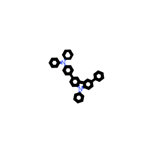 C1=CCC(N(c2ccccc2)c2ccc(-c3ccc4c(c3)c3cc(-c5ccccc5)ccc3n4-c3ccccc3)cc2)C=C1